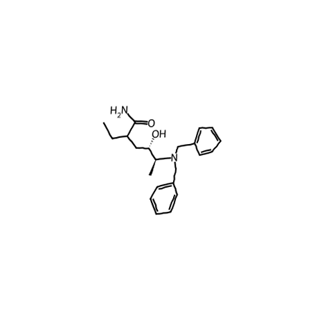 CCC(C[C@H](O)[C@H](C)N(Cc1ccccc1)Cc1ccccc1)C(N)=O